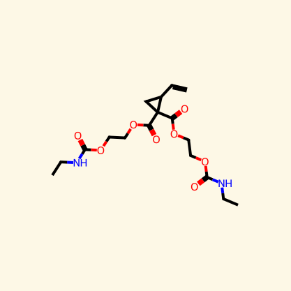 C=CC1CC1(C(=O)OCCOC(=O)NCC)C(=O)OCCOC(=O)NCC